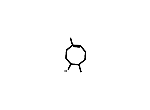 C/C1=C/CCC(C)C(O)CC1